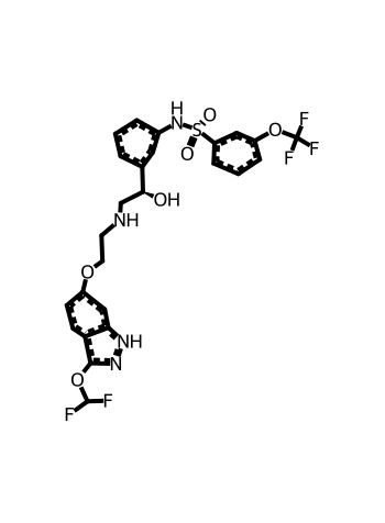 O=S(=O)(Nc1cccc([C@@H](O)CNCCOc2ccc3c(OC(F)F)n[nH]c3c2)c1)c1cccc(OC(F)(F)F)c1